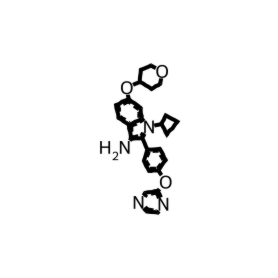 Nc1c(-c2ccc(Oc3cnccn3)cc2)n(C2CCC2)c2cc(OC3CCOCC3)ccc12